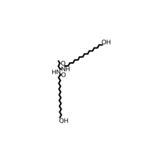 CCCC(NC(=O)CCCCCCCCCCCCCCCO)NC(=O)CCCCCCCCCCCCCCCO